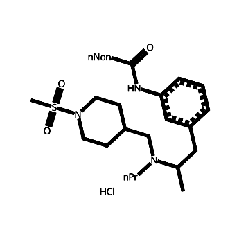 CCCCCCCCCC(=O)Nc1cccc(CC(C)N(CCC)CC2CCN(S(C)(=O)=O)CC2)c1.Cl